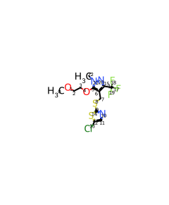 COCCOc1c(CSc2ncc(Cl)s2)c(C(F)(F)F)nn1C